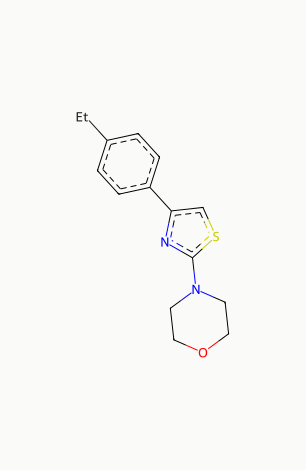 CCc1ccc(-c2csc(N3CCOCC3)n2)cc1